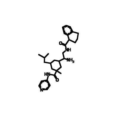 CC(C)CC1CC(C(N)CNC(=O)C2CCCc3ccccc32)CC(C)(C(=O)Nc2ccncc2)C1